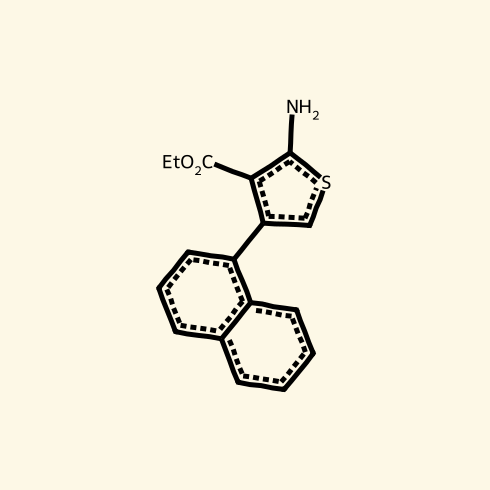 CCOC(=O)c1c(-c2cccc3ccccc23)csc1N